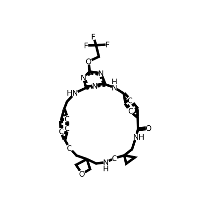 O=C1NCC2(CC2)CNCC2(CCc3ccc(cc3)CNc3nc(nc(OCC(F)(F)F)n3)Nc3ccc1cc3)COC2